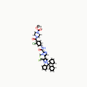 Cn1c(-c2cn(C(c3ccccc3)(c3ccccc3)c3ccccc3)nc2C(F)F)cnc1C(=O)Nc1ccc(C(=O)N2CCN(C(=O)OC(C)(C)C)CC2)c(Cl)c1